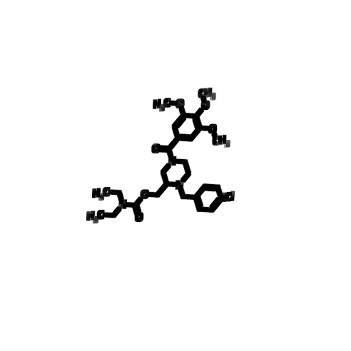 CCN(CC)C(=O)OCC1CN(C(=O)c2cc(OC)c(OC)c(OC)c2)CCN1Cc1ccccc1.Cl